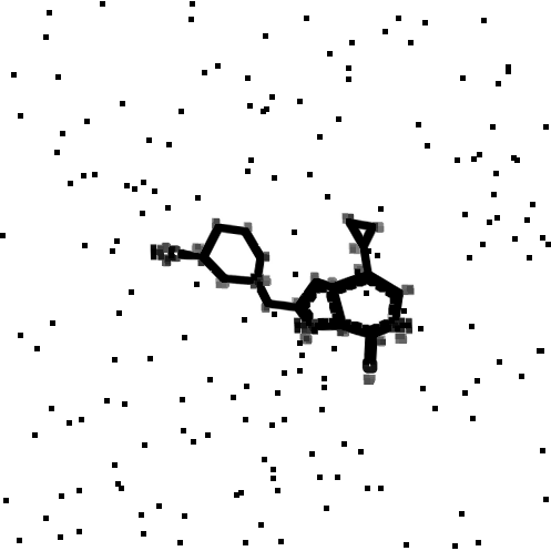 C[C@H]1CCCN(Cc2cc3c(C4CC4)c[nH]c(=O)c3[nH]2)C1